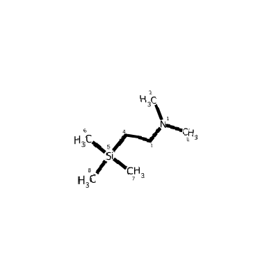 CN(C)CC[Si](C)(C)C